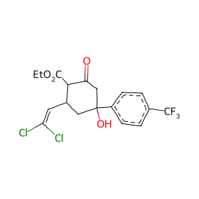 CCOC(=O)C1C(=O)CC(O)(c2ccc(C(F)(F)F)cc2)CC1C=C(Cl)Cl